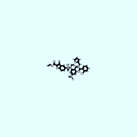 CCOC(=O)c1oc2ccc(S(=O)(=O)N(CC)c3cc(N(C)C)ccc3CN(Cc3ccco3)C(=O)c3ccccc3Cl)cc2c1C